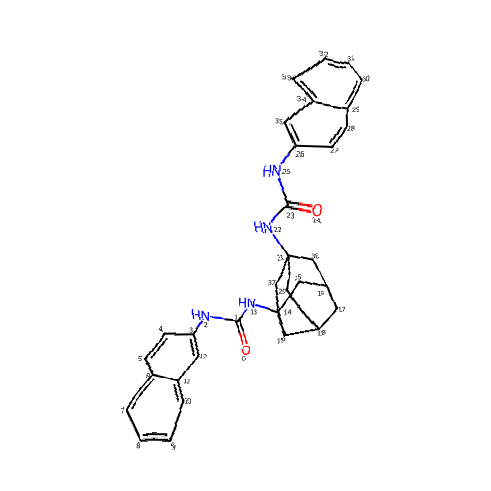 O=C(Nc1ccc2ccccc2c1)NC12CC3CC(C1)CC(NC(=O)Nc1ccc4ccccc4c1)(C3)C2